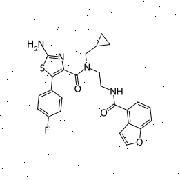 Nc1nc(C(=O)N(CCNC(=O)c2cccc3occc23)CC2CC2)c(-c2ccc(F)cc2)s1